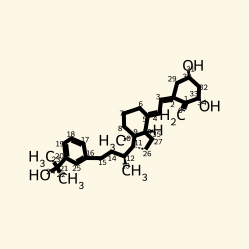 C=C1/C(=C\C=C2/CCC[C@]3(C)[C@@H]([C@@H](C)CCc4cccc(C(C)(C)O)c4)CC[C@@H]23)C[C@@H](O)C[C@@H]1O